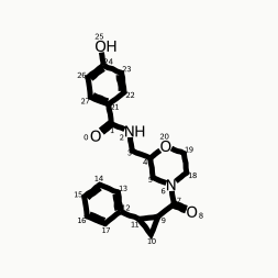 O=C(NCC1CN(C(=O)C2CC2c2ccccc2)CCO1)c1ccc(O)cc1